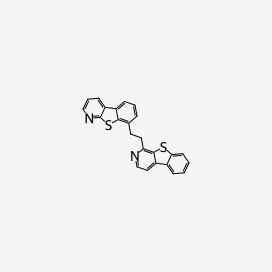 c1ccc2c(c1)sc1c(CCc3cccc4c3sc3ncccc34)nccc12